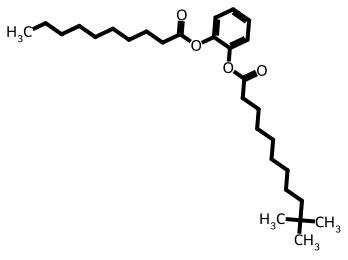 CCCCCCCCCC(=O)Oc1ccccc1OC(=O)CCCCCCCCC(C)(C)C